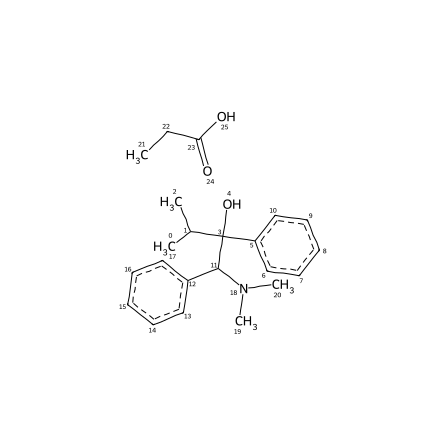 CC(C)C(O)(c1ccccc1)C(c1ccccc1)N(C)C.CCC(=O)O